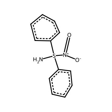 NS(c1ccccc1)(c1ccccc1)[N+](=O)[O-]